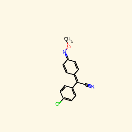 CON=C1C=CC(=C(C#N)c2ccc(Cl)cc2)C=C1